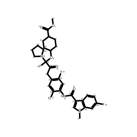 COC(=O)C1CCC(OC(F)(C(=O)Cc2cc(Cl)c(NC(=O)c3cn(C)c4cc(F)ccc34)cc2F)N2CCCC2)CC1